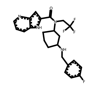 O=C(c1cc2ncccc2[nH]1)N(CC(F)(F)F)C1CCCC(NCc2ccc(F)cc2)C1